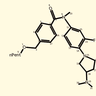 CCCCCOCc1ccc(C(=O)N(C)c2ccc(N3CCC(N(C)C)C3)c(F)c2)cc1